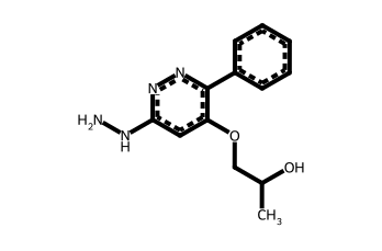 CC(O)COc1cc(NN)nnc1-c1ccccc1